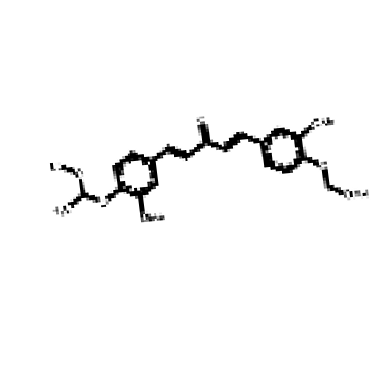 CCOC(C)Oc1ccc(C=CC(=O)C=Cc2ccc(OCOC)c(OC)c2)cc1OC